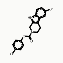 O=C(Oc1ccc(Cl)cc1)N1CCc2c([nH]c3ccc(Br)cc23)C1